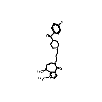 Cn1ccc2c1C(O)CCN(CCCN1CCC(C(=O)c3ccc(F)cc3)CC1)C2=O